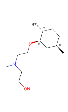 CC(C)[C@@H]1CC[C@@H](C)C[C@H]1OCCN(C)CCO